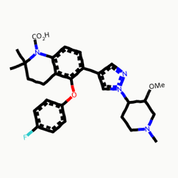 COC1CN(C)CCC1n1cc(-c2ccc3c(c2Oc2ccc(F)cc2)CCC(C)(C)N3C(=O)O)cn1